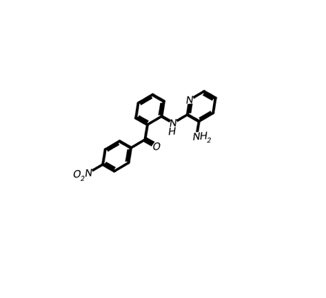 Nc1cccnc1Nc1ccccc1C(=O)c1ccc([N+](=O)[O-])cc1